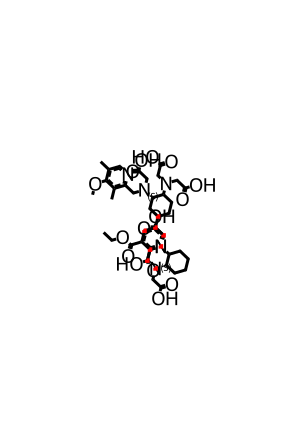 CCOC(=O)c1cc(C2CCC(N(CC(=O)O)CC(=O)O)[C@@H](N(CC(=O)O)Cc3ncc(C)c(OC)c3C)C2)cnc1CN(CC(=O)O)[C@H]1CCCCC1N(CC(=O)O)CC(=O)O